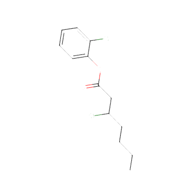 CCCCC(Cl)CC(=O)Oc1ccccc1Cl